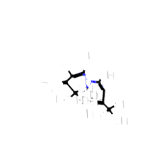 C=C(/C=C(/C)N(C)/C(C)=C(/C)C(=C)C(C)(C)C)C(C)(C)C